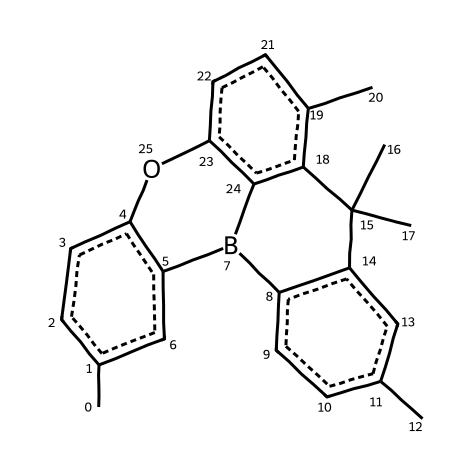 Cc1ccc2c(c1)B1c3ccc(C)cc3C(C)(C)c3c(C)ccc(c31)O2